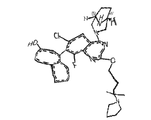 CC(C)(CCOc1nc(N2C[C@H]3CC[C@@H](C2)N3)c2cc(Cl)c(-c3cc(O)cc4ccccc34)c(F)c2n1)N1CCCC1